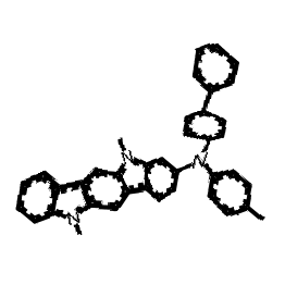 Cc1ccc(N(c2ccc(-c3ccccc3)cc2)c2ccc3c4cc5c(cc4n(C)c3c2)c2ccccc2n5C)cc1